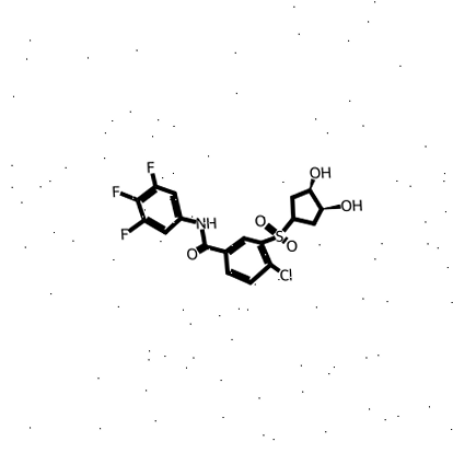 O=C(Nc1cc(F)c(F)c(F)c1)c1ccc(Cl)c(S(=O)(=O)C2C[C@@H](O)[C@@H](O)C2)c1